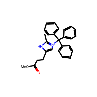 COC(=O)CCc1c[n+](C(c2ccccc2)(c2ccccc2)c2ccccc2)c(C)[nH]1